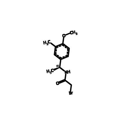 COc1ccc([C@H](C)NC(=O)CBr)cc1C